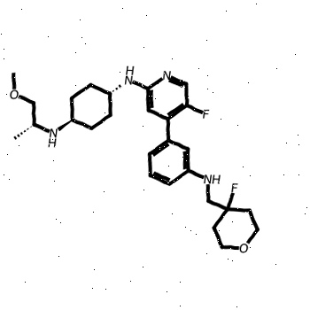 COC[C@@H](C)N[C@H]1CC[C@H](Nc2cc(-c3cccc(NCC4(F)CCOCC4)c3)c(F)cn2)CC1